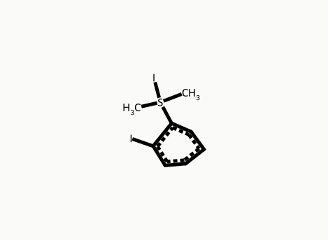 CS(C)(I)c1ccccc1I